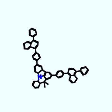 CC1(C)c2cc(-c3ccc(-c4ccc(-c5ccccc5)c5c4C=CCC5)cc3)cc3c2N(C2C=CC(c4ccc(-c5ccc(-c6ccccc6)c6ccccc56)cc4)=CC32)C2C=CC=CC21